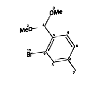 COC(OC)c1ccc(C)cc1Br